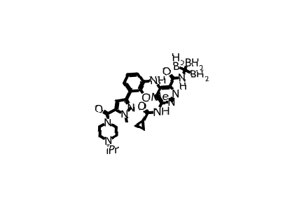 BC(B)(B)NC(=O)c1nnc(NC(=O)C2CC2)cc1Nc1cccc(-c2cc(C(=O)N3CCN(C(C)C)CC3)n(C)n2)c1OC